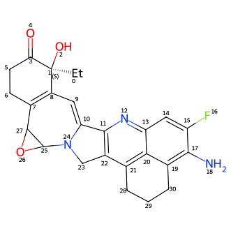 CC[C@@]1(O)C(=O)CCC2=C1C=C1c3nc4cc(F)c(N)c5c4c(c3CN1C1OC21)CCC5